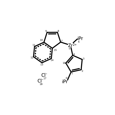 CC(C)C1=CC[C]([Zr+2]([CH](C)C)[CH]2C=Cc3ccccc32)=C1.[Cl-].[Cl-]